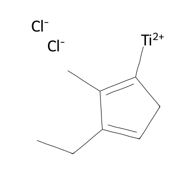 CCC1=CC[C]([Ti+2])=C1C.[Cl-].[Cl-]